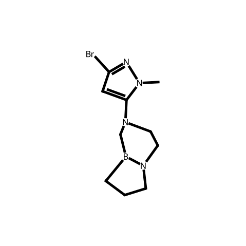 Cn1nc(Br)cc1N1CCN2CCCB2C1